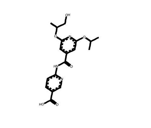 CC(C)Oc1cc(C(=O)Nc2ccc(C(=O)O)cn2)cc(OC(C)CO)n1